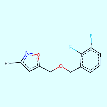 CCc1cc(COCc2cccc(F)c2F)on1